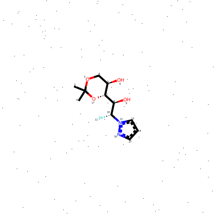 CC1(C)OC[C@@H](O)[C@H]([C@@H](O)[C@@H](F)n2cccn2)O1